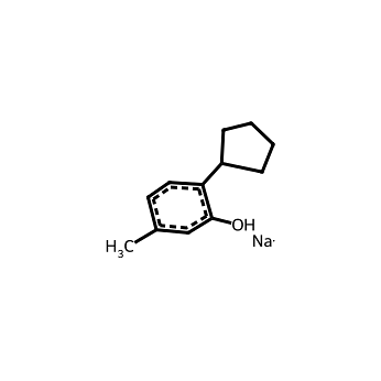 Cc1ccc(C2CCCC2)c(O)c1.[Na]